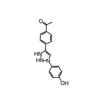 CC(=O)c1ccc(C2=CN(c3ccc(O)cc3)NN2)cc1